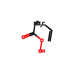 C=CC(=O)O.CCCC(=O)OO